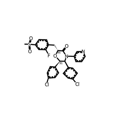 CS(=O)(=O)c1ccc(C[C@H]2O[C@H](c3ccc(Cl)cc3)C(c3ccc(Cl)cc3)N(c3cccnc3)C2=O)c(F)c1